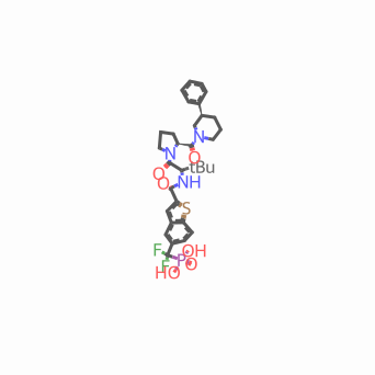 CC(C)(C)C(NC(=O)c1cc2cc(C(F)(F)P(=O)(O)O)ccc2s1)C(=O)N1CCC[C@H]1C(=O)N1CCC[C@H](c2ccccc2)C1